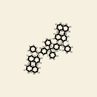 c1ccc(N(c2ccc(C(c3ccccc3)(c3ccccc3)c3ccc(N(c4ccccc4)c4ccc5c6cccc7cccc(c8cccc4c85)c76)cc3)cc2)c2ccc3c4cccc5cccc(c6cccc2c63)c54)cc1